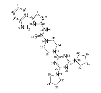 Nc1ccccc1-c1csc(NC(=S)N2CCN(c3nc(N4CCCC4)nc(N4CCCC4)n3)CC2)n1